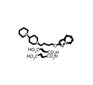 O=C(O)C=CC(=O)O.O=C(O)C=CC(=O)O.c1ccn2nc(OCCCCN3CCC(N4CCCCC4)CC3)cc2c1